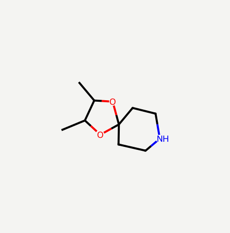 CC1OC2(CCNCC2)OC1C